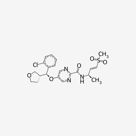 C[C@H](/C=C/S(C)(=O)=O)NC(=O)c1ncc(O[C@H](c2ccccc2Cl)[C@@H]2CCOC2)cn1